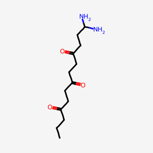 CCCC(=O)CCC(=O)CCC(=O)CCC(N)N